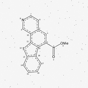 COC(=O)c1cc2ccncc2c2sc3ccccc3c12